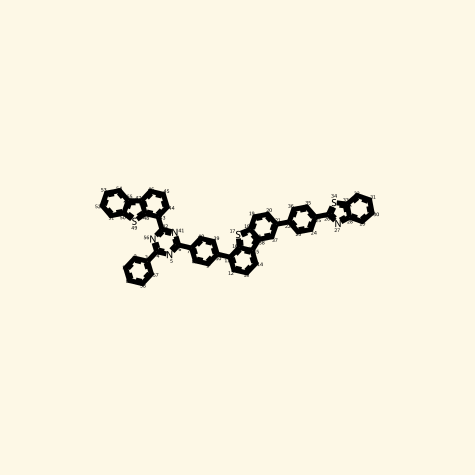 c1ccc(-c2nc(-c3ccc(-c4cccc5c4sc4ccc(-c6ccc(-c7nc8ccccc8s7)cc6)cc45)cc3)nc(-c3cccc4c3sc3ccccc34)n2)cc1